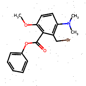 COc1ccc(N(C)C)c(CBr)c1C(=O)Oc1ccccc1